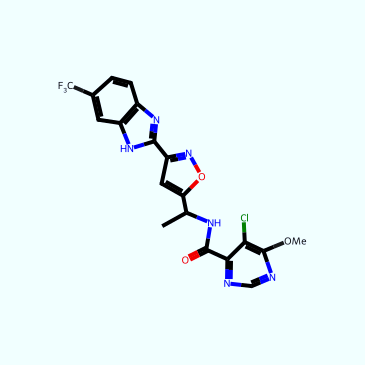 COc1ncnc(C(=O)NC(C)c2cc(-c3nc4ccc(C(F)(F)F)cc4[nH]3)no2)c1Cl